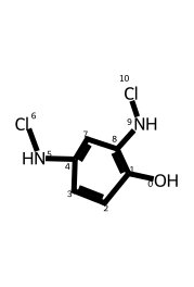 Oc1ccc(NCl)cc1NCl